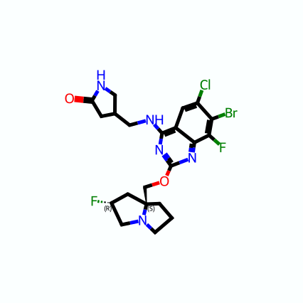 O=C1CC(CNc2nc(OC[C@@]34CCCN3C[C@H](F)C4)nc3c(F)c(Br)c(Cl)cc23)CN1